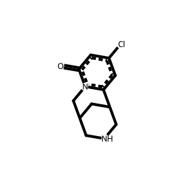 O=c1cc(Cl)cc2n1CC1CNCC2C1